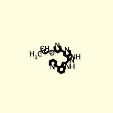 CN(C)CCOc1cncc(-c2cc3c(-c4cc5c(-c6ccccn6)cccc5[nH]4)n[nH]c3cn2)c1